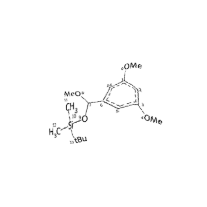 COc1cc(OC)cc(C(OC)O[Si](C)(C)C(C)(C)C)c1